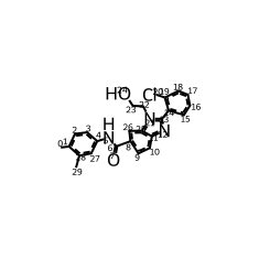 Cc1ccc(NC(=O)c2ccc3nc(-c4ccccc4Cl)n(CCO)c3c2)cc1C